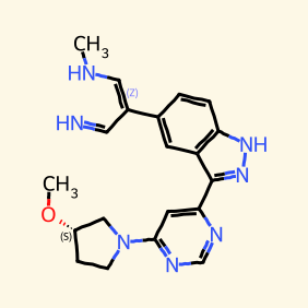 CN/C=C(\C=N)c1ccc2[nH]nc(-c3cc(N4CC[C@H](OC)C4)ncn3)c2c1